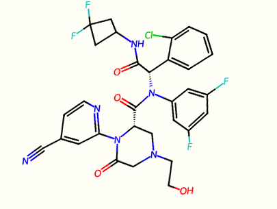 N#Cc1ccnc(N2C(=O)CN(CCO)C[C@H]2C(=O)N(c2cc(F)cc(F)c2)[C@H](C(=O)NC2CC(F)(F)C2)c2ccccc2Cl)c1